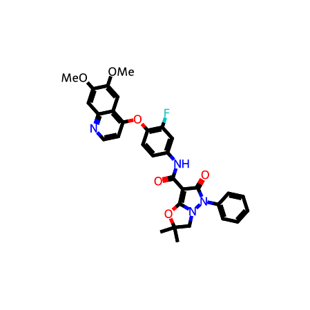 COc1cc2nccc(Oc3ccc(NC(=O)c4c5n(n(-c6ccccc6)c4=O)CC(C)(C)O5)cc3F)c2cc1OC